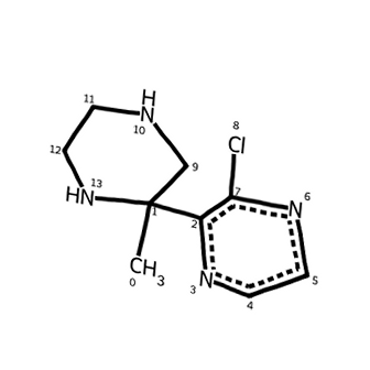 CC1(c2nccnc2Cl)CNCCN1